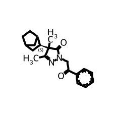 CC1=NN(CC(=O)c2ccccc2)C(=O)C1(C)[C@H]1CC2CCC1C2